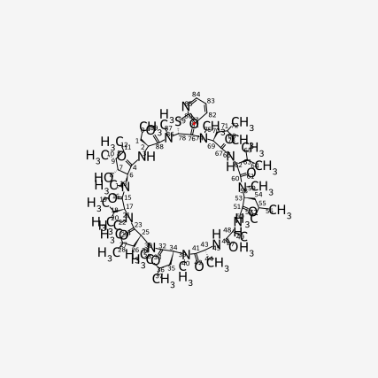 CC[C@@H]1NC(=O)[C@H]([C@H](O)[C@H](C)CC)N(C)C(=O)[C@H](C(C)C)N(C)C(=O)[C@H](CC(C)C)N(C)C(=O)[C@H](CC(C)C)N(C)C(=O)[C@@H](C)NC(=O)[C@H](C)NC(=O)[C@H](CC(C)C)N(C)C(=O)[C@H](C(C)C)NC(=O)[C@H](CC(C)C)N(C)C(=O)[C@@H](Sc2ccccn2)N(C)C1=O